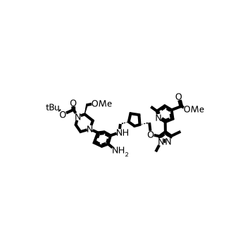 COC[C@H]1CN(c2ccc(N)c(NC[C@@H]3CC[C@H](COc4c(-c5cc(C(=O)OC)cc(C)n5)c(C)nn4C)C3)c2)CCN1C(=O)OC(C)(C)C